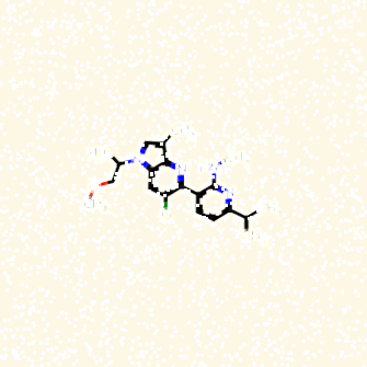 CNc1nc(C(C)C)ccc1-c1nc2c(C)cn(C(C)COC)c2cc1Cl